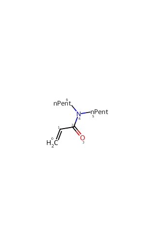 C=CC(=O)N(CCCCC)CCCCC